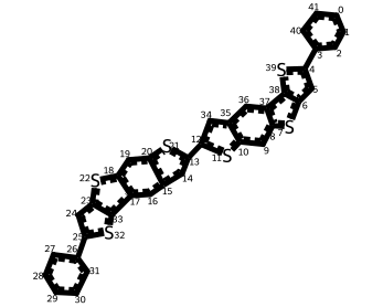 c1ccc(-c2cc3sc4cc5sc(-c6cc7cc8c(cc7s6)sc6cc(-c7ccccc7)sc68)cc5cc4c3s2)cc1